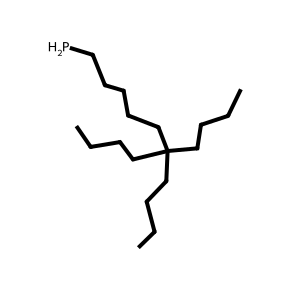 CCCCC(CCCC)(CCCC)CCCCCP